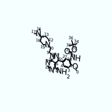 COc1ccc(-c2nn(CCN3CCC(N(C)C)CC3)c3ncnc(N)c23)cc1NC(=O)OC(C)(C)C